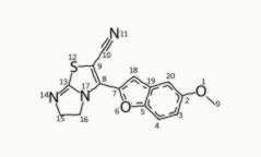 COc1ccc2oc(C3=C(C#N)SC4=NCCN43)cc2c1